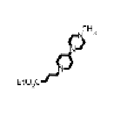 CCOC(=O)CCCN1CCC(N2CCN(C)CC2)CC1